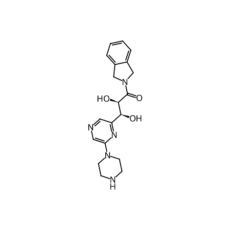 O=C([C@H](O)[C@@H](O)c1cncc(N2CCNCC2)n1)N1Cc2ccccc2C1